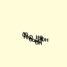 C=CC(=O)OCCNC(=O)Oc1ccc([C@@H](O)Oc2cccc(B(O)O)c2)cc1